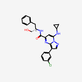 O=C(N[C@H](CO)Cc1ccccc1)c1cc(NC2CC2)n2ncc(-c3cccc(Cl)c3)c2n1